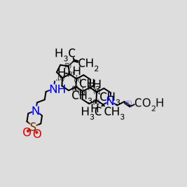 C=C(C)[C@@H]1CC[C@]2(CNCCCN3CCS(=O)(=O)CC3)CC[C@]3(C)[C@H](CC[C@@H]4[C@@]5(C)CCN(C/C=C/C(=O)O)C(C)(C)[C@@H]5CC[C@]43C)[C@@H]12